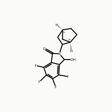 O=C1c2c(F)c(F)c(F)c(F)c2C(O)N1C1C[C@H]2CC[C@@H]1C2